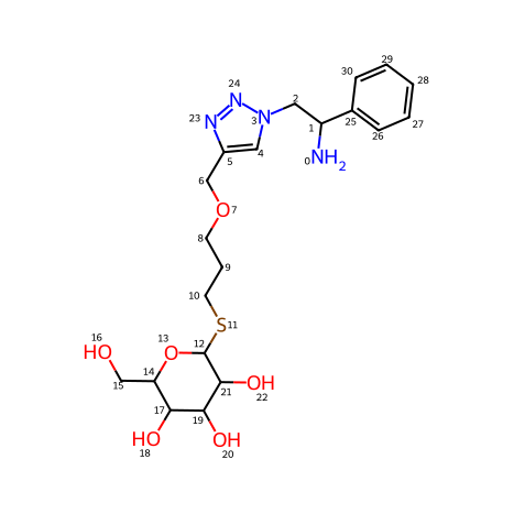 NC(Cn1cc(COCCCSC2OC(CO)C(O)C(O)C2O)nn1)c1ccccc1